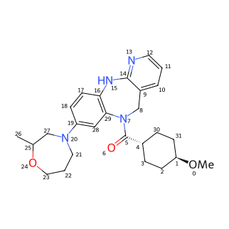 CO[C@H]1CC[C@H](C(=O)N2Cc3cccnc3Nc3ccc(N4CCCOC(C)C4)cc32)CC1